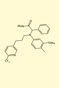 CNC(=O)C(c1ccccc1)N(CCCc1ccc(C(F)(F)F)nc1)c1ccc(C)c(OC)c1